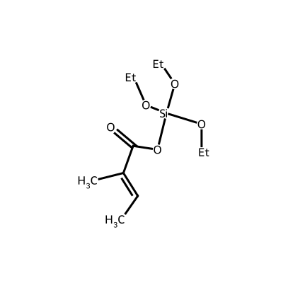 CC=C(C)C(=O)O[Si](OCC)(OCC)OCC